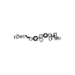 CCCCCCCCCCCCCOc1ccc(C(=O)Oc2ccc(OC(=O)C(Cl)C(C)CC)cc2)cc1